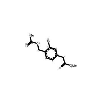 COC(=O)Cc1ccc(COC(=O)C(C)(C)C)c(Br)c1